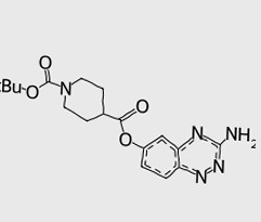 CC(C)(C)OC(=O)N1CCC(C(=O)Oc2ccc3nnc(N)nc3c2)CC1